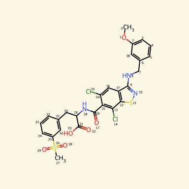 COc1cccc(CNc2nsc3c(Cl)c(C(=O)NC(Cc4cccc(S(C)(=O)=O)c4)C(=O)O)c(Cl)cc23)c1